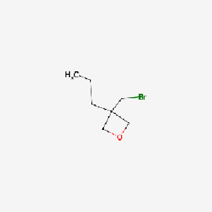 CCCC1(CBr)COC1